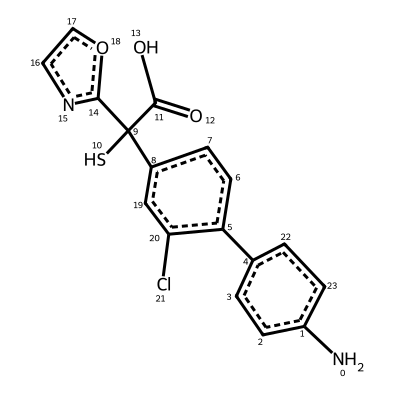 Nc1ccc(-c2ccc(C(S)(C(=O)O)c3ncco3)cc2Cl)cc1